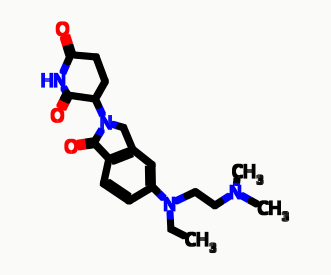 CCN(CCN(C)C)c1ccc2c(c1)CN(C1CCC(=O)NC1=O)C2=O